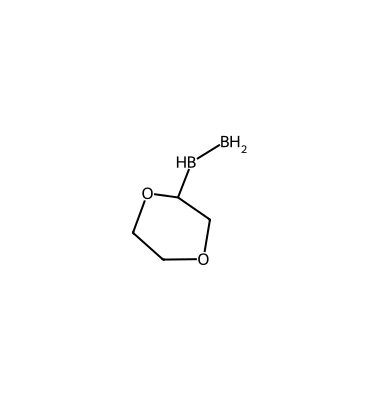 BBC1COCCO1